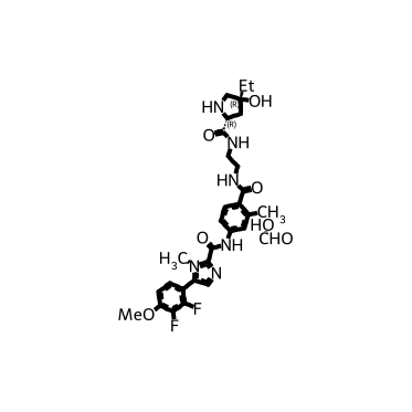 CC[C@]1(O)CN[C@@H](C(=O)NCCNC(=O)c2ccc(NC(=O)c3ncc(-c4ccc(OC)c(F)c4F)n3C)cc2C)C1.O=CO